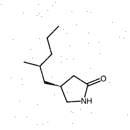 CCCC(C)C[C@@H]1CNC(=O)C1